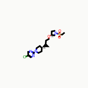 CCS(=O)(=O)N1CC[C@H](OCCC2C[C@@H]2C2CCN(c3ncc(Cl)cn3)CC2)C1